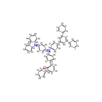 c1ccc(-c2cc(-c3ccccc3)cc(-c3ccc(N(c4ccc(-c5cccc6c5oc5ccccc56)cc4)c4ccc(-n5c6ccccc6c6ccccc65)cc4)cc3)c2)cc1